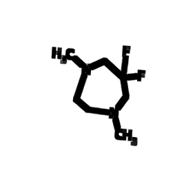 CN1CCN(C)CC(F)(F)C1